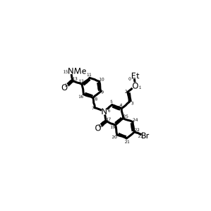 CCOC=Cc1cn(Cc2cccc(C(=O)NC)c2)c(=O)c2ccc(Br)cc12